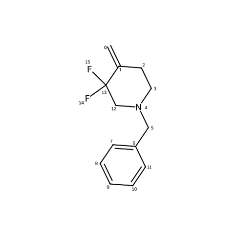 C=C1CCN(Cc2ccccc2)CC1(F)F